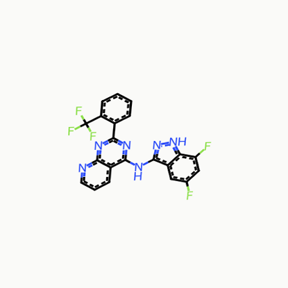 Fc1cc(F)c2[nH]nc(Nc3nc(-c4ccccc4C(F)(F)F)nc4ncccc34)c2c1